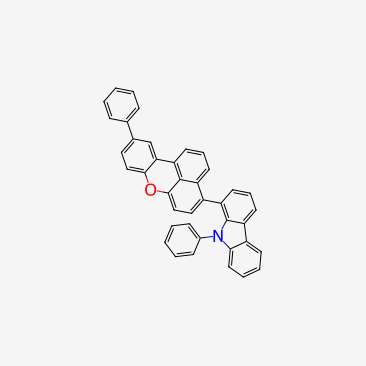 c1ccc(-c2ccc3c(c2)-c2cccc4c(-c5cccc6c7ccccc7n(-c7ccccc7)c56)ccc(c24)O3)cc1